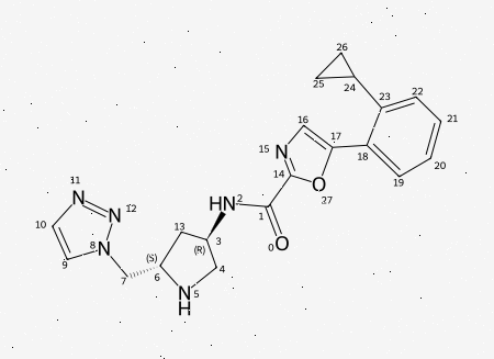 O=C(N[C@H]1CN[C@H](Cn2ccnn2)C1)c1ncc(-c2ccccc2C2CC2)o1